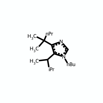 CCCCn1cnc(C(C)(C)CCC)c1C(C)C(C)C